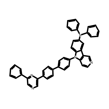 c1ccc(-c2cncc(-c3ccc(-c4ccc(-n5c6ccncc6c6cc(N(c7ccccc7)c7ccccc7)ccc65)cc4)cc3)n2)cc1